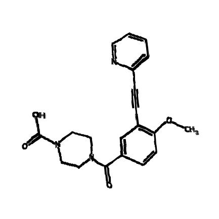 COc1ccc(C(=O)N2CCN(C(=O)O)CC2)cc1C#Cc1ccccn1